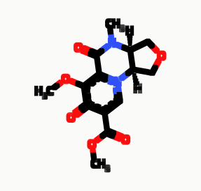 COC(=O)c1cn2c(c(OC)c1=O)C(=O)N(C)[C@H]1COC[C@H]12